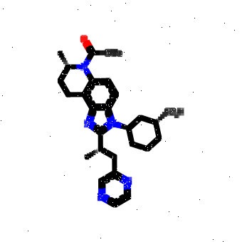 COC(=O)N1c2ccc3c(nc([C@@H](C)Cc4cnccn4)n3[C@@H]3CCC[C@@H](C(=O)O)C3)c2CC[C@@H]1C